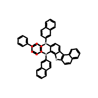 c1ccc(-c2ccc(N(c3ccc4ccccc4c3)c3c(N(c4ccccc4)c4ccc5ccccc5c4)ccc4c3sc3ccc5ccccc5c34)cc2)cc1